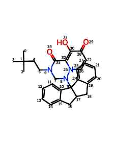 CC(C)(C)CCN1CN(C23c4ccccc4CC2Cc2ccccc23)n2ccc(=O)c(O)c2C1=O